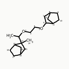 CC(OCCOC1CC2CCC1C2)C1(C)CC2CCC1C2